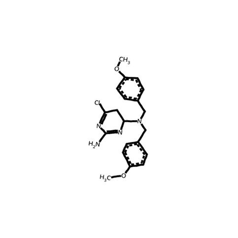 COc1ccc(CN(Cc2ccc(OC)cc2)C2CC(Cl)=NC(N)=N2)cc1